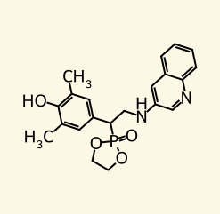 Cc1cc(C(CNc2cnc3ccccc3c2)P2(=O)OCCO2)cc(C)c1O